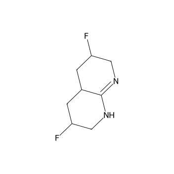 FC1CN=C2NCC(F)CC2C1